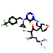 CC(CCN(C)C)C(C)C(=O)CC1(CNc2ncnc(N(Cc3ccc(C(F)(F)F)cc3)C3CC3)c2F)CCOCC1